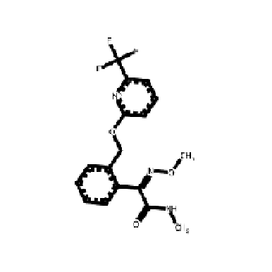 CNC(=O)C(=NOC)c1ccccc1COc1cccc(C(F)(F)F)n1